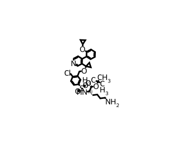 CC(C)(C)OC(=O)[C@H](CCCCN)NS(=O)(=O)c1ccc(Cl)c(COC2(c3cnccc3-c3ccccc3OC3CC3)CC2)c1